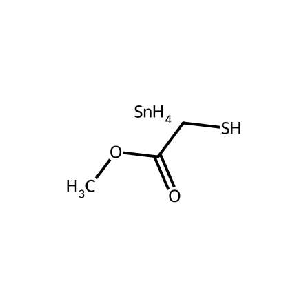 COC(=O)CS.[SnH4]